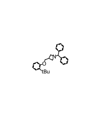 CC(C)(C)c1ccccc1OCC1CN(C(c2ccccc2)c2ccccc2)C1